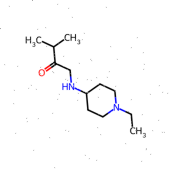 CCN1CCC(NCC(=O)C(C)C)CC1